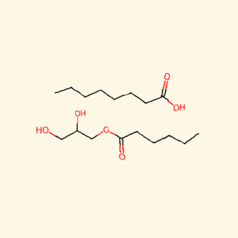 CCCCCC(=O)OCC(O)CO.CCCCCCCC(=O)O